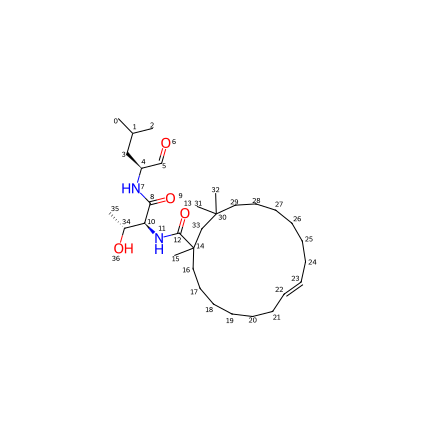 CC(C)C[C@@H](C=O)NC(=O)[C@@H](NC(=O)C1(C)CCCCCC/C=C/CCCCCCC(C)(C)C1)[C@@H](C)O